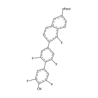 CCCCCc1ccc2c(F)c(-c3cc(F)c(-c4cc(F)c(C#N)c(F)c4)c(F)c3)ccc2c1